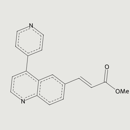 COC(=O)C=Cc1ccc2nccc(-c3ccncc3)c2c1